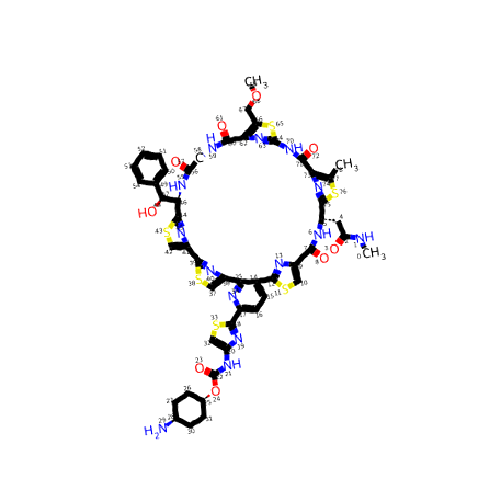 CNC(=O)C[C@@H]1NC(=O)c2csc(n2)-c2ccc(-c3nc(NC(=O)O[C@H]4CC[C@H](N)CC4)cs3)nc2-c2csc(n2)-c2csc(n2)[C@H]([C@@H](O)c2ccccc2)NC(=O)CNC(=O)c2nc(sc2COC)NC(=O)c2nc1sc2C